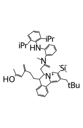 C=C(/C=C(\C)O)CCC1c2ccccc2-c2cc(CC(C)(C)C)c([Si](C)(C)C)c[n+]2C1CC(=C)N(C)c1ccccc1Nc1c(C(C)C)cccc1C(C)C